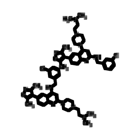 Cc1noc(C)c1-c1ccc2nc(N3CCN(CCN(C)C)CC3)cc(NCc3cccc(Cl)c3)c2c1.Cc1noc(C)c1-c1ccc2nc(NCc3cccc(Cl)c3)cc(N3CCN(CCN(C)C)CC3)c2c1